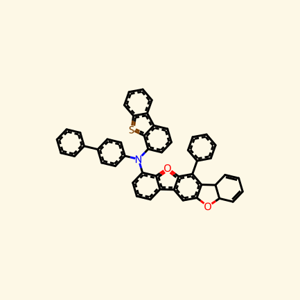 C1=CC2Oc3cc4c(oc5c(N(c6ccc(-c7ccccc7)cc6)c6cccc7c6sc6ccccc67)cccc54)c(-c4ccccc4)c3C2C=C1